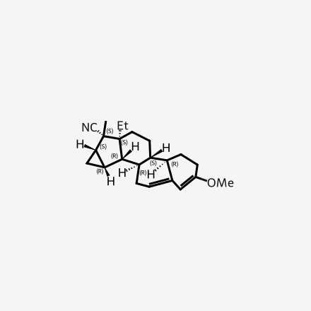 CC[C@]12CC[C@H]3[C@@H](CC=C4C=C(OC)CC[C@@H]43)[C@@H]1[C@@H]1C[C@@H]1[C@]2(C)C#N